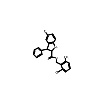 Cc1cccc(Cl)c1CNC(=O)C1Nc2ccc(F)cc2C1c1ccccc1